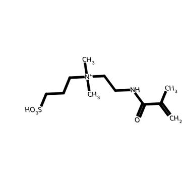 C=C(C)C(=O)NCC[N+](C)(C)CCCS(=O)(=O)O